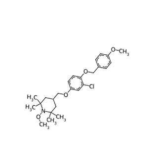 COc1ccc(COc2ccc(OCC3CC(C)(C)N(OC)C(C)(C)C3)cc2Cl)cc1